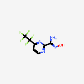 N/C(=N\O)c1nccc(C(F)(F)C(F)(F)F)n1